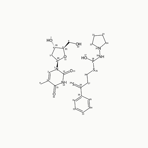 Cc1cn([C@H]2C[C@H](O)[C@@H](CO)O2)c(=O)[nH]c1=O.OP(NN1CCCC1)SCCC(=S)c1ccccc1